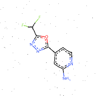 Nc1cc(-c2nnc(C(F)F)o2)ccn1